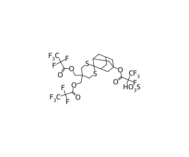 O=C(OCC1(COC(=O)C(F)(F)C(F)(F)F)CSC2(SC1)C1CC3CC2CC(OC(=O)C(F)(C(F)(F)F)S(=O)(=O)O)(C3)C1)C(F)(F)C(F)(F)F